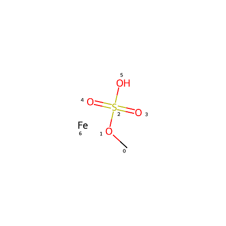 COS(=O)(=O)O.[Fe]